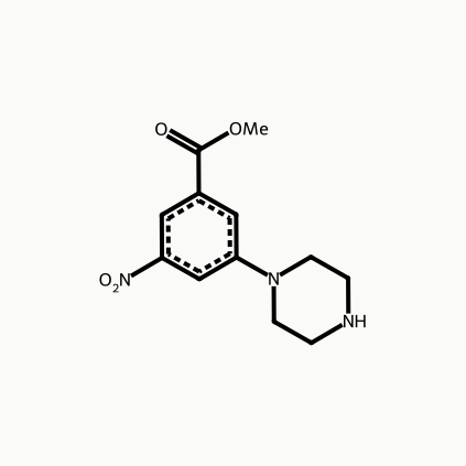 COC(=O)c1cc(N2CCNCC2)cc([N+](=O)[O-])c1